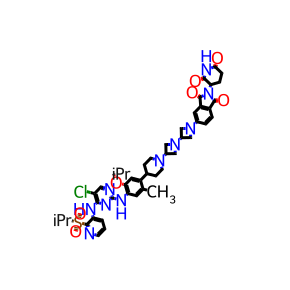 Cc1cc(Nc2ncc(Cl)c(Nc3cccnc3S(=O)(=O)C(C)C)n2)c(OC(C)C)cc1C1CCN(C2CN(C3CN(c4ccc5c(c4)C(=O)N(C4CCC(=O)NC4=O)C5=O)C3)C2)CC1